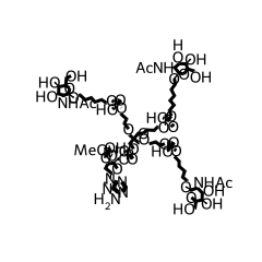 COP(=O)(O)OC1C[C@H](n2cnc3c(N)ncnc32)O[C@@H]1COP(=O)(O)OCC(COCCCOP(=O)(O)OCCCCCCO[C@@H]1OC(CO)[C@H](O)[C@H](O)C1NC(C)=O)(COCCCOP(=O)(O)OCCCCCCO[C@@H]1OC(CO)[C@H](O)[C@H](O)C1NC(C)=O)COCCCOP(=O)(O)OCCCCCCO[C@@H]1OC(CO)[C@H](O)C(O)[C@@H]1NC(C)=O